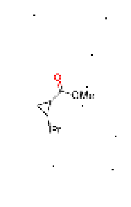 COC(=O)C1C[C@@H]1C(C)C